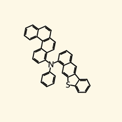 c1ccc(N(c2cccc3cc4c(cc23)sc2ccccc24)c2cccc3c2ccc2ccc4ccccc4c23)cc1